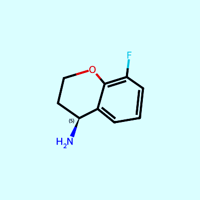 N[C@H]1CCOc2c(F)cccc21